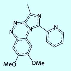 COc1cc2nnc3c(C)nc(-c4ccccn4)n3c2cc1OC